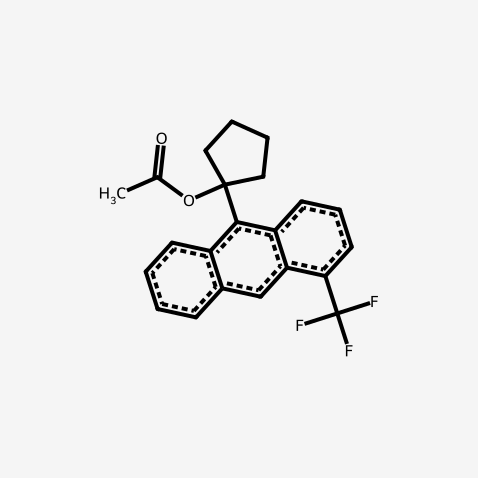 CC(=O)OC1(c2c3ccccc3cc3c(C(F)(F)F)cccc23)CCCC1